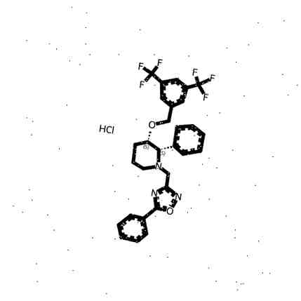 Cl.FC(F)(F)c1cc(CO[C@H]2CCCN(Cc3noc(-c4ccccc4)n3)[C@H]2c2ccccc2)cc(C(F)(F)F)c1